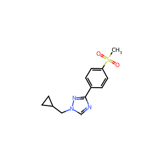 CS(=O)(=O)c1ccc(-c2n[c]n(CC3CC3)n2)cc1